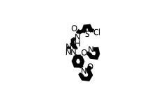 O=C(NCc1cn(-c2ccc(-n3ccccc3=O)cc2Oc2ccccn2)nn1)c1ccc(Cl)s1